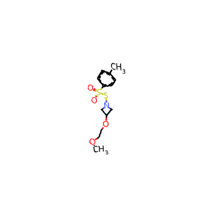 COCCOC1CN(SS(=O)(=O)c2ccc(C)cc2)C1